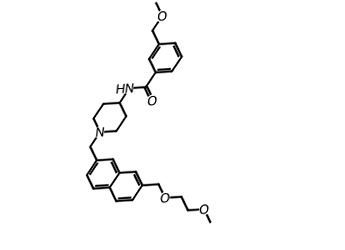 COCCOCc1ccc2ccc(CN3CCC(NC(=O)c4cccc(COC)c4)CC3)cc2c1